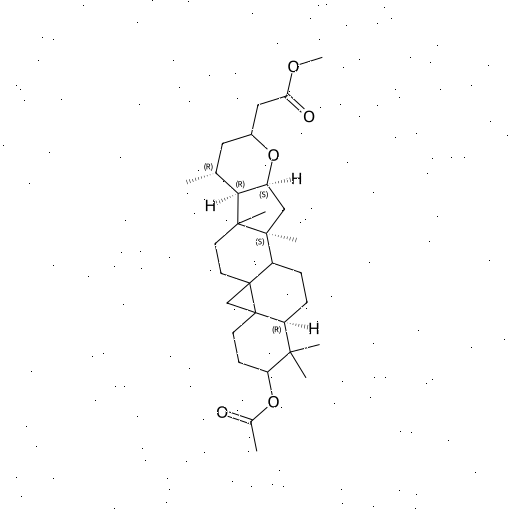 COC(=O)CC1C[C@@H](C)[C@H]2[C@H](C[C@@]3(C)C4CC[C@H]5C(C)(C)C(OC(C)=O)CCC56CC46CCC23C)O1